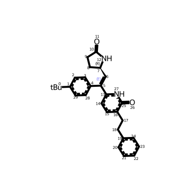 CC(C)(C)c1ccc(/C(=C\[C@H]2CCC(=O)N2)c2ccc(CCc3ccccc3)c(=O)[nH]2)cc1